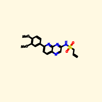 C=CCS(=O)(=O)Nc1cnc2ccc(-c3ccc(OC)c(OC)c3)nc2n1